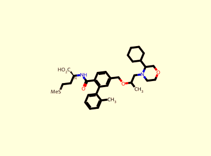 CSCC[C@H](NC(=O)c1ccc(COC(C)CN2CCOCC2C2CCCCC2)cc1-c1ccccc1C)C(=O)O